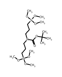 CO[Si](CCCN(CCC[Si](OC)(OC)OC)C(=O)OC(C)(C)C)(OC)OC